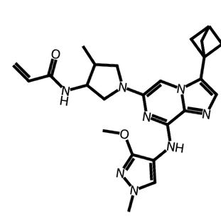 C=CC(=O)NC1CN(c2cn3c(C45CC(C4)C5)cnc3c(Nc3cn(C)nc3OC)n2)CC1C